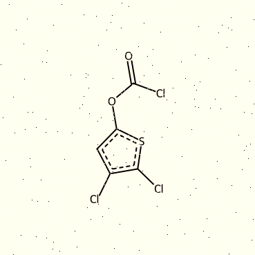 O=C(Cl)Oc1cc(Cl)c(Cl)s1